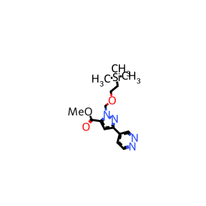 COC(=O)c1cc(-c2ccnnc2)nn1COCC[Si](C)(C)C